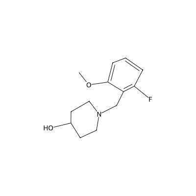 COc1cccc(F)c1CN1CCC(O)CC1